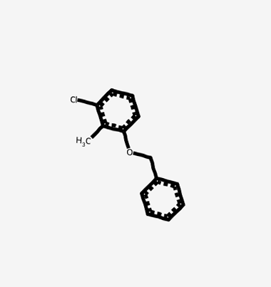 Cc1c(Cl)cccc1OCc1ccccc1